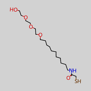 O=C(CS)NCCCCCCCCCCCOCCOCCOCCO